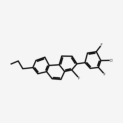 CCCc1ccc2c(ccc3c(F)c(-c4cc(F)c(Cl)c(F)c4)ccc32)c1